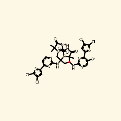 CC1(C)C(=O)NC(=O)N1CC(CCNc1ncc(Br)c(-c2cc(Cl)c(Cl)s2)n1)(Nc1nccc(-c2cc(Cl)c(Cl)s2)n1)N1C(=O)NC(=O)C1(C)C